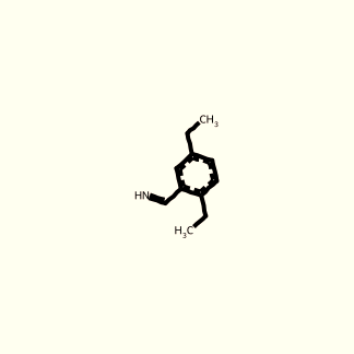 CCc1ccc(CC)c(C=N)c1